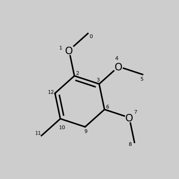 COC1=C(OC)C(OC)CC(C)=C1